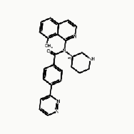 Cc1cccc2ccnc(N(C(=O)c3ccc(-c4cccnn4)cc3)[C@@H]3CCCNC3)c12